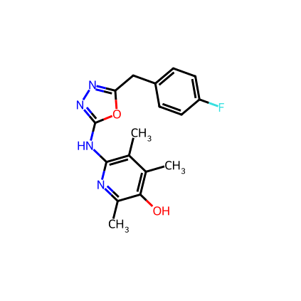 Cc1nc(Nc2nnc(Cc3ccc(F)cc3)o2)c(C)c(C)c1O